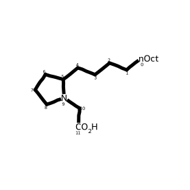 CCCCCCCCCCCCC1CCCN1CC(=O)O